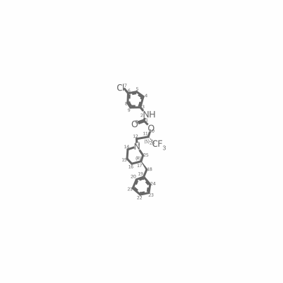 O=C(Nc1ccc(Cl)cc1)O[C@@H](CN1CCC[C@H](Cc2ccccc2)C1)C(F)(F)F